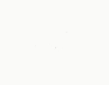 C1CC1.Cl.NC=O.O.O.O